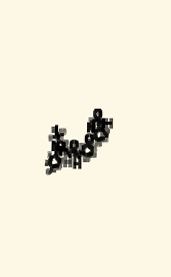 Cc1ccc(-n2nc(C(C)(C)I)cc2NC(=O)Nc2cccc(Oc3ccnc4[nH]c(=O)cnc34)c2)cc1